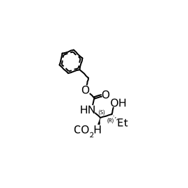 CC[C@@H](O)[C@H](NC(=O)OCc1ccccc1)C(=O)O